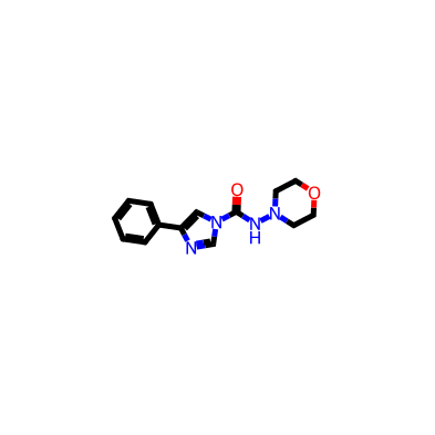 O=C(NN1CCOCC1)n1cnc(-c2ccccc2)c1